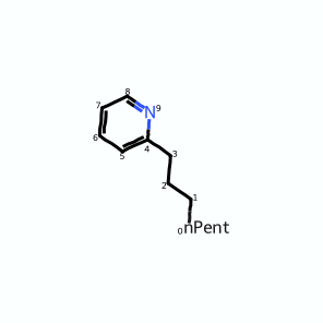 [CH2]CCCCCCCc1ccccn1